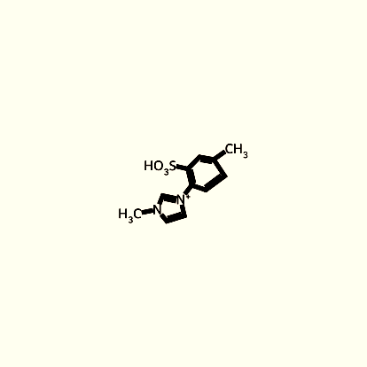 Cc1ccc(-[n+]2ccn(C)c2)c(S(=O)(=O)O)c1